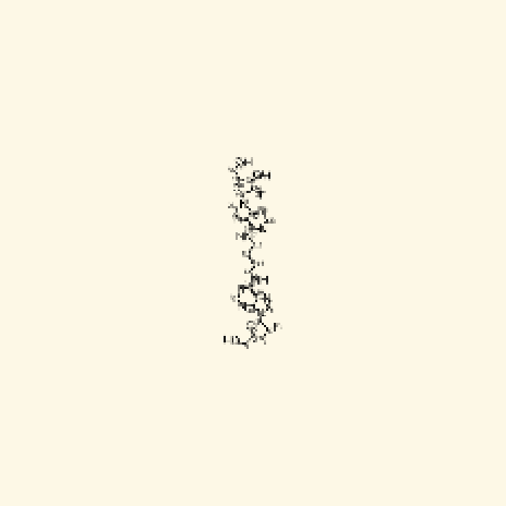 OCC1C[C@@H](F)C(n2cnc3c(NC/C=C/CNc4ncnc5c4ncn5C4OC(CO)[C@@H](O)[C@H]4F)ncnc32)O1